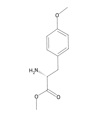 COC(=O)[C@H](N)Cc1ccc(OC)cc1